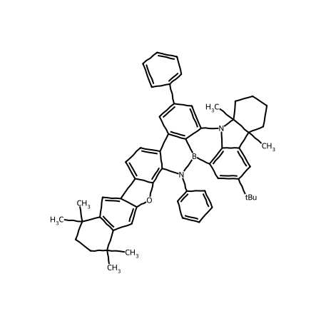 CC(C)(C)c1cc2c3c(c1)C1(C)CCCCC1(C)N3c1cc(-c3ccccc3)cc3c1B2N(c1ccccc1)c1c-3ccc2c1oc1cc3c(cc12)C(C)(C)CCC3(C)C